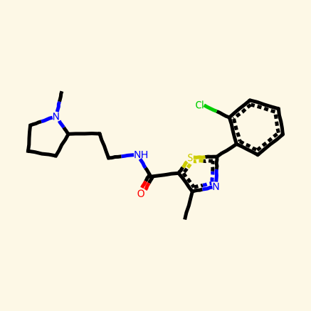 Cc1nc(-c2ccccc2Cl)sc1C(=O)NCCC1CCCN1C